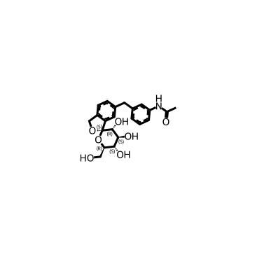 CC(=O)Nc1cccc(Cc2ccc3c(c2)[C@]2(OC3)O[C@H](CO)[C@@H](O)[C@H](O)[C@H]2O)c1